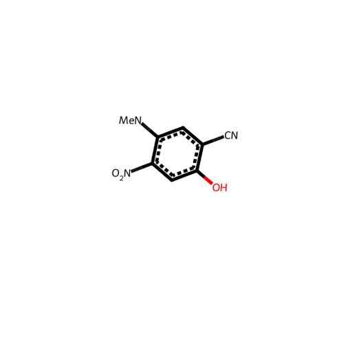 CNc1cc(C#N)c(O)cc1[N+](=O)[O-]